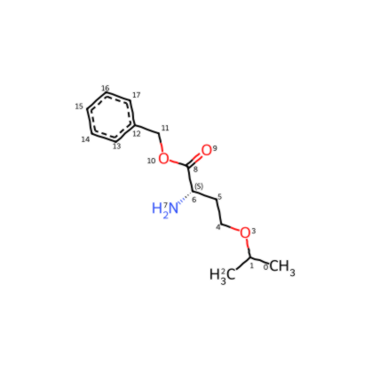 CC(C)OCC[C@H](N)C(=O)OCc1ccccc1